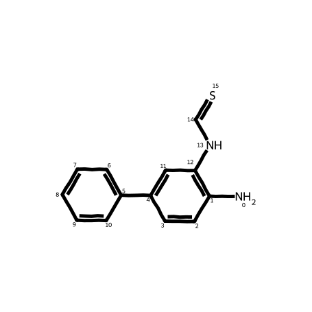 Nc1ccc(-c2ccccc2)cc1NC=S